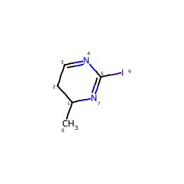 CC1CC=NC(I)=N1